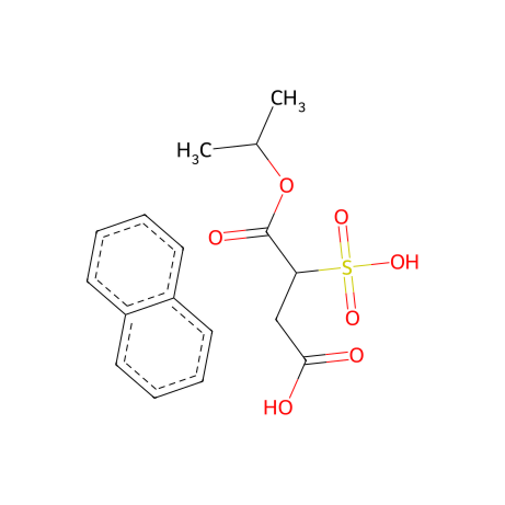 CC(C)OC(=O)C(CC(=O)O)S(=O)(=O)O.c1ccc2ccccc2c1